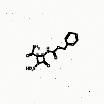 NC(=O)[C@H]1[C@@H](NC(=O)OCc2ccccc2)C(=O)N1S(=O)(=O)O